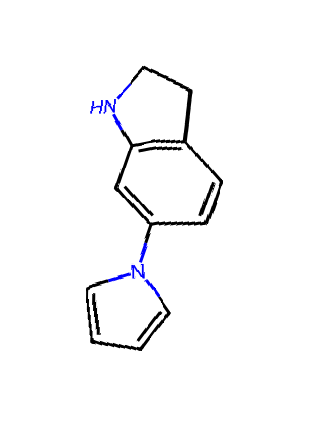 c1ccn(-c2ccc3c(c2)NCC3)c1